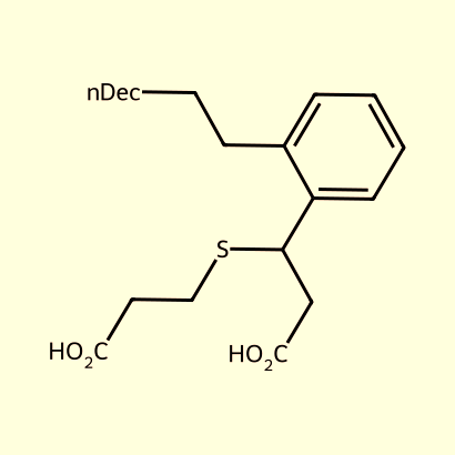 CCCCCCCCCCCCc1ccccc1C(CC(=O)O)SCCC(=O)O